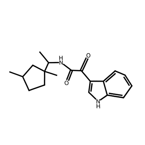 CC1CCC(C)(C(C)NC(=O)C(=O)c2c[nH]c3ccccc23)C1